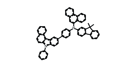 CC1(C)c2ccccc2-c2ccc(N(c3ccc(-c4ccc5c(c4)c4c6ccccc6ccc4n5-c4ccccc4)cc3)c3cc4ccccc4c4ccccc34)cc21